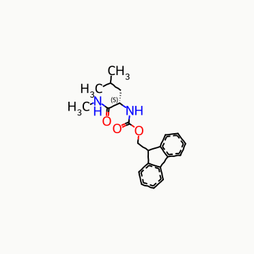 CNC(=O)[C@H](CC(C)C)NC(=O)OCC1c2ccccc2-c2ccccc21